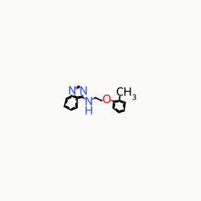 Cc1ccccc1OCCNc1ncnc2ccccc12